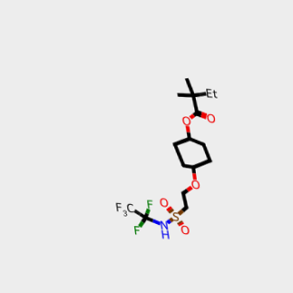 CCC(C)(C)C(=O)OC1CCC(OCCS(=O)(=O)NC(F)(F)C(F)(F)F)CC1